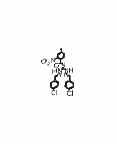 Cc1ccc(C(=O)N=C(N/N=C/c2ccc(Cl)cc2)N/N=C/c2ccc(Cl)cc2)c([N+](=O)[O-])c1